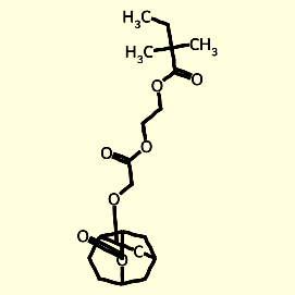 CCC(C)(C)C(=O)OCCOC(=O)COC1CC2CC3CCC1C(C2)C(=O)O3